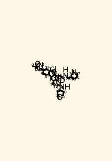 Cc1nc(-c2ccc(-c3cc4cnc(NC5CCOCC5)nc4n(CC(=O)NCc4cccnc4)c3=O)c(Cl)c2)no1